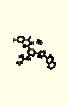 C[C@@H](NC(=O)c1cc(NC(=N)N)cc(-c2cnc(-c3cc4ccccc4cn3)[nH]2)c1)c1ccc(F)cc1.Cl.Cl